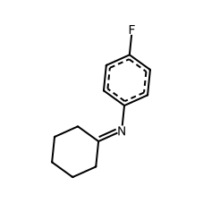 Fc1ccc(N=C2CCCCC2)cc1